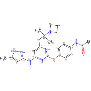 CCC(=O)Nc1ccc(Sc2nc(CC(C)(C)N3CCC3)cc(Nc3cc(C)[nH]n3)n2)cc1